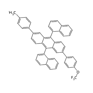 Cc1ccc(-c2ccc3c(-c4cccc5ccccc45)c4cc(-c5ccc(OC(F)(F)F)cc5)ccc4c(-c4cccc5ccccc45)c3c2)cc1